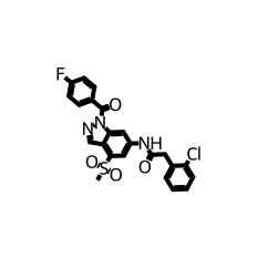 CS(=O)(=O)c1cc(NC(=O)Cc2ccccc2Cl)cc2c1cnn2C(=O)c1ccc(F)cc1